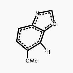 [2H]c1c(OC)ccc2ncoc12